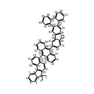 CC1(C)c2ccccc2-c2c1ccc1c(-c3c4ccccc4c(-c4ccc5oc6cc7c8ccccc8c8ccccc8c7cc6c5c4)c4ccccc34)cccc21